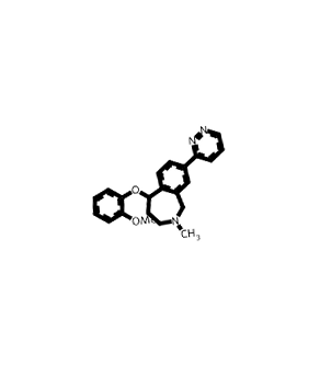 COc1ccccc1OC1CCN(C)Cc2cc(-c3cccnn3)ccc21